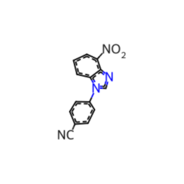 N#Cc1ccc(-n2cnc3c([N+](=O)[O-])cccc32)cc1